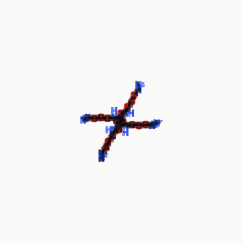 [N-]=[N+]=NCCOCCOCCOCCNC(=O)CN(CCN(CC(=O)NCCOCCOCCOCCN=[N+]=[N-])CC(=O)NCCOCCOCCOCCN=[N+]=[N-])CC(=O)NCCOCCOCCOCCN=[N+]=[N-]